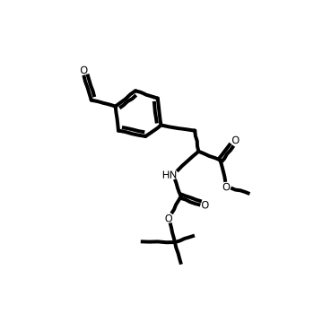 COC(=O)C(Cc1ccc(C=O)cc1)NC(=O)OC(C)(C)C